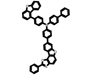 c1ccc(-c2ccc(N(c3ccc(-c4ccc5c(c4)oc4ccc6nc(-c7ccccc7)oc6c45)cc3)c3ccc(-c4cccc5oc6ccccc6c45)cc3)cc2)cc1